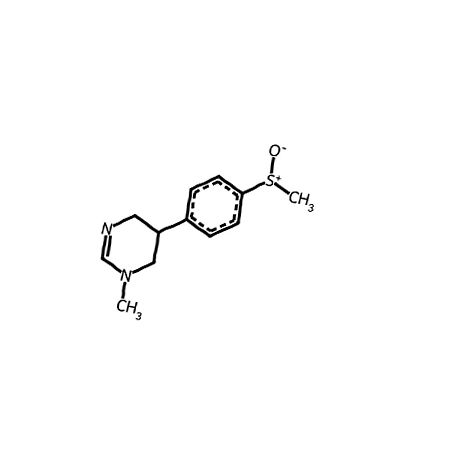 CN1C=NCC(c2ccc([S+](C)[O-])cc2)C1